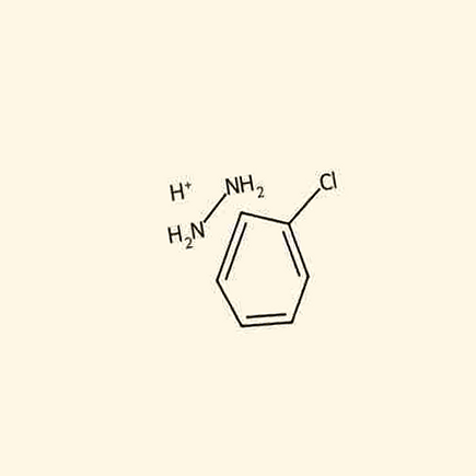 Clc1ccccc1.NN.[H+]